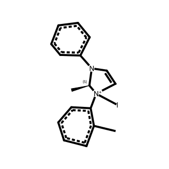 Cc1ccccc1[N+]1(I)C=CN(c2ccccc2)[C@@H]1C